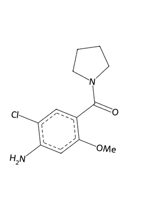 COc1cc(N)c(Cl)cc1C(=O)N1CCCC1